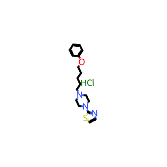 Cl.c1ccc(OCCCCCN2CCN(c3nccs3)CC2)cc1